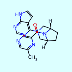 Cc1cncc(C(=O)N2[C@@H]3CC[C@H]2CN(c2ncnc4[nH]ccc24)C3)n1